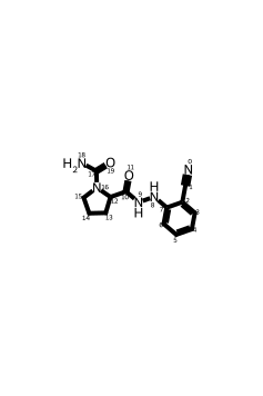 N#Cc1ccccc1NNC(=O)C1CCCN1C(N)=O